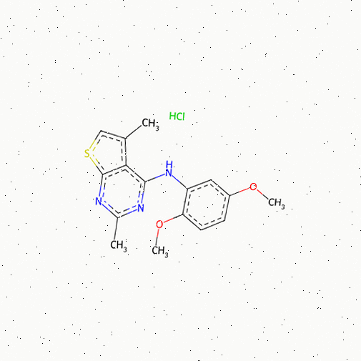 COc1ccc(OC)c(Nc2nc(C)nc3scc(C)c23)c1.Cl